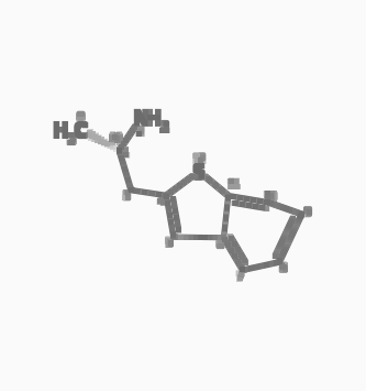 C[C@H](N)Cc1cc2ccccc2s1